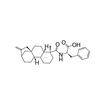 C=C1C[C@@]23CC[C@H]4[C@@](C)(CCC[C@@]4(C)C(=O)N[C@H](Cc4ccccc4)C(=O)O)[C@@H]2CCC1C3